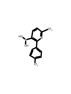 OB(O)c1ccc(C(F)(F)F)nc1-c1ccc(C(F)(F)F)cc1